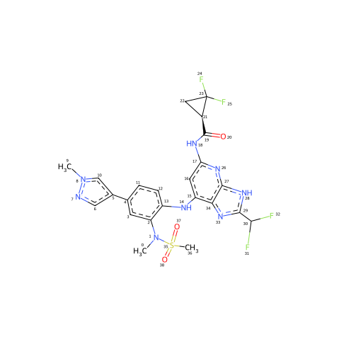 CN(c1cc(-c2cnn(C)c2)ccc1Nc1cc(NC(=O)[C@H]2CC2(F)F)nc2[nH]c(C(F)F)nc12)S(C)(=O)=O